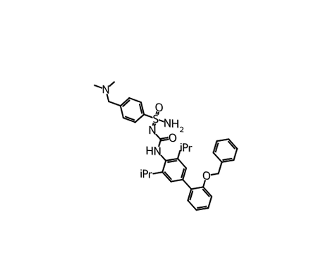 CC(C)c1cc(-c2ccccc2OCc2ccccc2)cc(C(C)C)c1NC(=O)N=S(N)(=O)c1ccc(CN(C)C)cc1